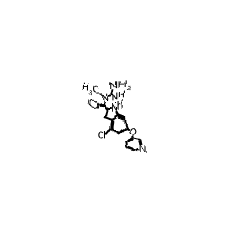 CN(C(=N)N)C(=O)c1cc2c(Cl)cc(Oc3cccnc3)cc2[nH]1